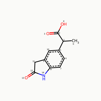 CC(C(=O)O)c1ccc2c(c1)CC(=O)N2